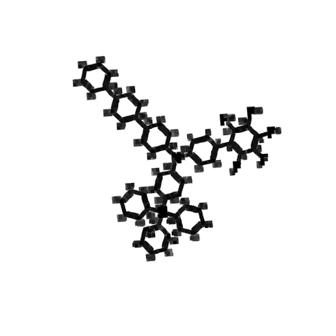 Fc1c(F)c(F)c(-c2ccc(N(c3ccc(-c4ccc(-c5ccccc5)cc4)cc3)c3ccc([Si](c4ccccc4)(c4ccccc4)c4ccccc4)cc3)cc2)c(F)c1F